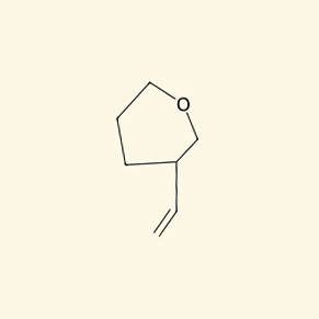 C=CC1CCCOC1